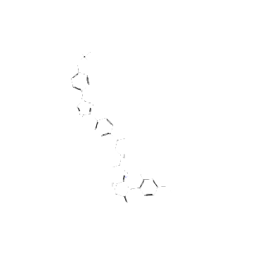 COc1ccc(N2C(=O)CN/C2=N\C(O)NCC(F)c2ccc(-c3ncn(-c4ccc(OC(F)(F)F)cc4)n3)cc2)c(C)c1